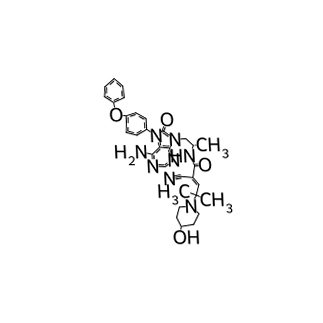 C[C@@H](Cn1c(=O)n(-c2ccc(Oc3ccccc3)cc2)c2c(N)ncnc21)NC(=O)C(C#N)=CC(C)(C)N1CCC(O)CC1